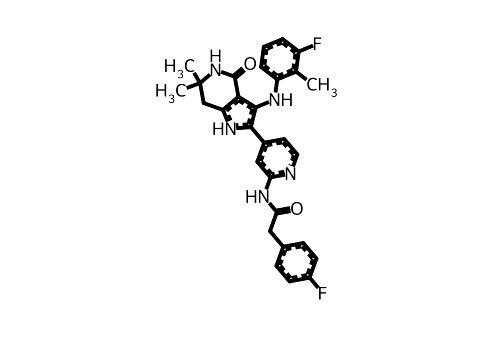 Cc1c(F)cccc1Nc1c(-c2ccnc(NC(=O)Cc3ccc(F)cc3)c2)[nH]c2c1C(=O)NC(C)(C)C2